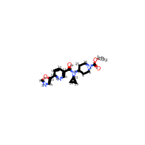 CC(C)(C)OC(=O)N1CCC(N(C(=O)c2ccc(-c3cnco3)nc2)C2CC2)CC1